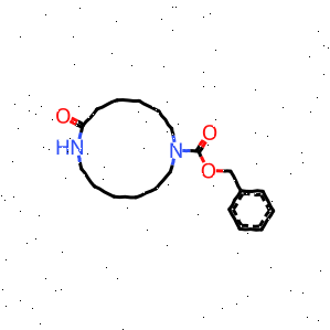 O=C1CCCCCN(C(=O)OCc2ccccc2)CCCCCCN1